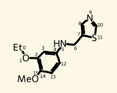 CCOc1cc(NCc2cncs2)ccc1OC